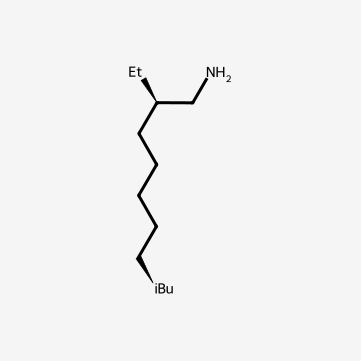 CC[C@H](C)CCCCC[C@@H](CC)CN